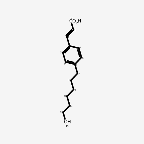 O=C(O)C=Cc1ccc(CCCCCCO)cc1